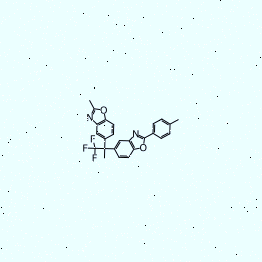 Cc1ccc(-c2nc3cc(C(C)(c4ccc5oc(C)nc5c4)C(F)(F)F)ccc3o2)cc1